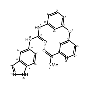 CNC(=O)c1cc(Oc2cccc(NC(=O)Nc3ccc4[nH]ncc4c3)c2)ccn1